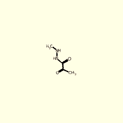 CNNC(=O)C(C)=O